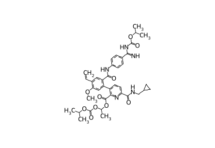 C=Cc1cc(C(=O)Nc2ccc(C(=N)NC(=O)OC(C)C)cc2)c(-c2ccc(C(=O)NCC3CC3)nc2C(=O)OC(C)OC(=O)OC(C)C)cc1OC